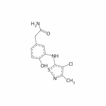 Cc1nsc(Nc2cc(CC(N)=O)ccc2O)c1Cl